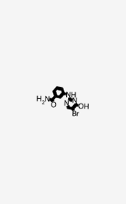 NC(=O)c1cccc(Nc2ncc(Br)c(O)n2)c1